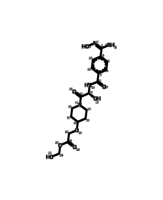 N/C(=N/O)c1ccc(C(=O)N[C@@H](O)C(=O)N2CCC(OCC(=O)OCO)CC2)cc1